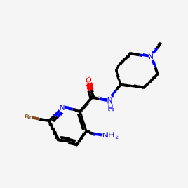 CN1CCC(NC(=O)c2nc(Br)ccc2N)CC1